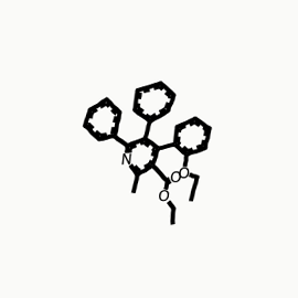 CCOC(=O)c1c(C)nc(-c2ccccc2)c(-c2ccccc2)c1-c1ccccc1OCC